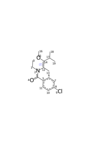 CCN(C(=O)c1ccc(Cl)cc1)/C(C)=C(\OC)C(C)C